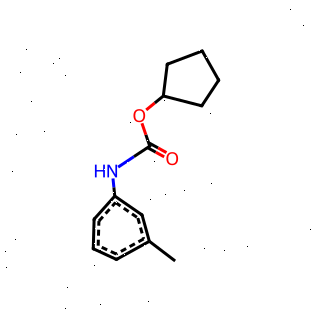 Cc1cccc(NC(=O)OC2CCCC2)c1